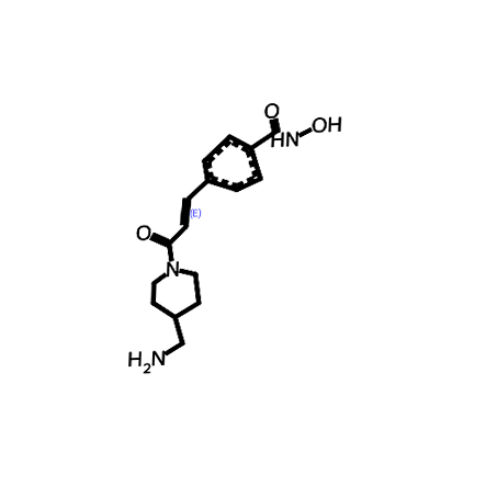 NCC1CCN(C(=O)/C=C/c2ccc(C(=O)NO)cc2)CC1